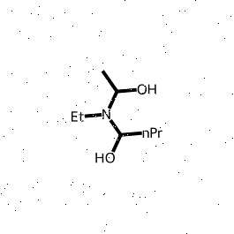 CCCC(O)N(CC)C(C)O